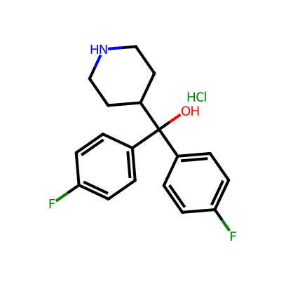 Cl.OC(c1ccc(F)cc1)(c1ccc(F)cc1)C1CCNCC1